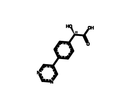 O=C(O)[C@@H](O)c1ccc(-c2cncnc2)cc1